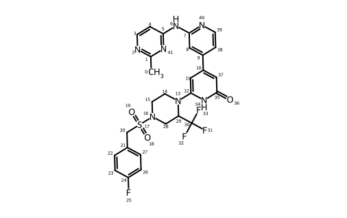 Cc1nccc(Nc2cc(-c3cc(N4CCN(S(=O)(=O)Cc5ccc(F)cc5)CC4C(F)(F)F)[nH]c(=O)c3)ccn2)n1